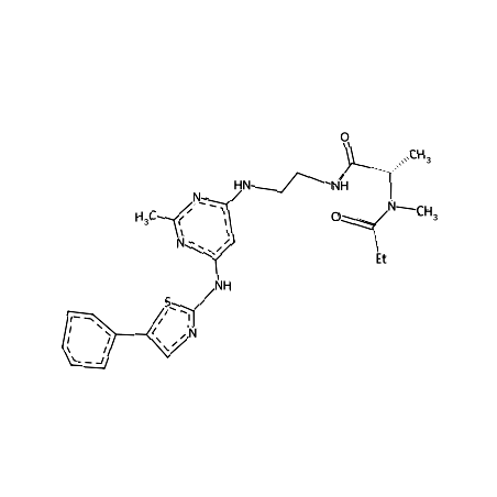 CCC(=O)N(C)[C@@H](C)C(=O)NCCNc1cc(Nc2ncc(-c3ccccc3)s2)nc(C)n1